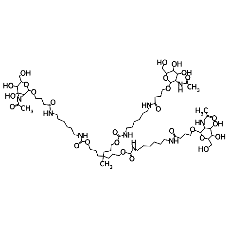 CC(=O)NC1C(OCCCC(=O)NCCCCCCNC(=O)OCCCC(C)(CCCOC(=O)NCCCCCCNC(=O)CCCOC2OC(CO)C(O)C(O)C2NC(C)=O)CCCOC(=O)NCCCCCCNC(=O)CCCOC2OC(CO)C(O)C3(O)C2N3C(C)=O)OC(CO)C(O)C1O